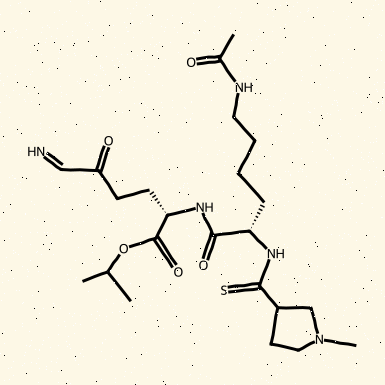 CC(=O)NCCCC[C@H](NC(=S)C1CCN(C)C1)C(=O)N[C@@H](CCC(=O)C=N)C(=O)OC(C)C